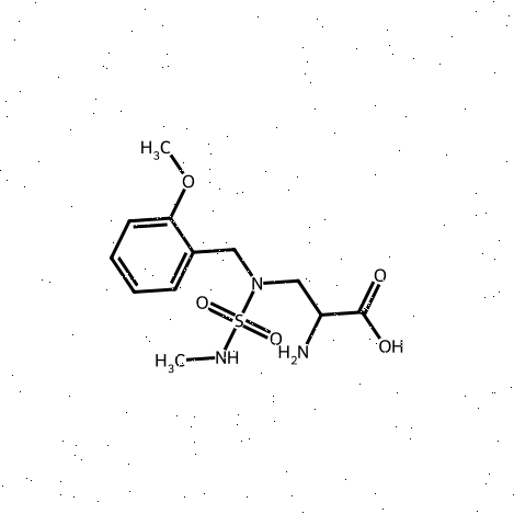 CNS(=O)(=O)N(Cc1ccccc1OC)CC(N)C(=O)O